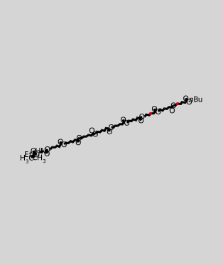 CCCCOC(=O)CCCCCOC(=O)CCCCCOC(=O)CCCCCOC(=O)CCCCCOC(=O)CCCCCOC(=O)CCCCCOC(=O)CCCCCOC(=O)CCCCCOC(=O)CCCCCOC(=O)NCCOC(=O)C(C)(C)CC